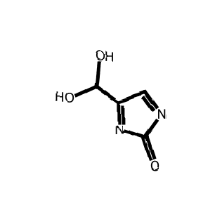 O=C1N=CC(C(O)O)=N1